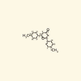 Cc1ccc(-c2cc(=O)cc(-c3ccc(C)cc3)o2)cc1